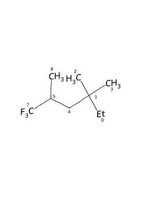 CCC(C)(C)CC(C)C(F)(F)F